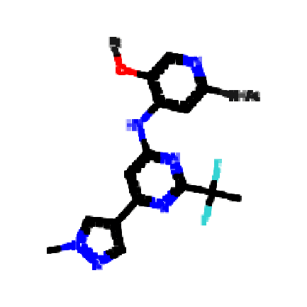 CCOc1cnc(NC(C)=O)cc1Nc1cc(-c2cnn(C)c2)nc(C(C)(F)F)n1